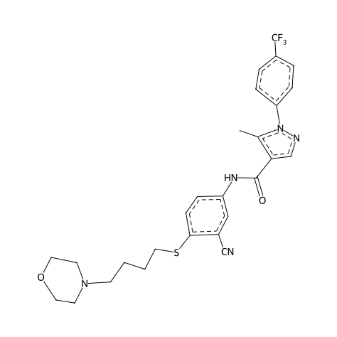 Cc1c(C(=O)Nc2ccc(SCCCCN3CCOCC3)c(C#N)c2)cnn1-c1ccc(C(F)(F)F)cc1